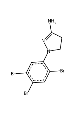 NC1=NN(c2cc(Br)c(Br)cc2Br)CC1